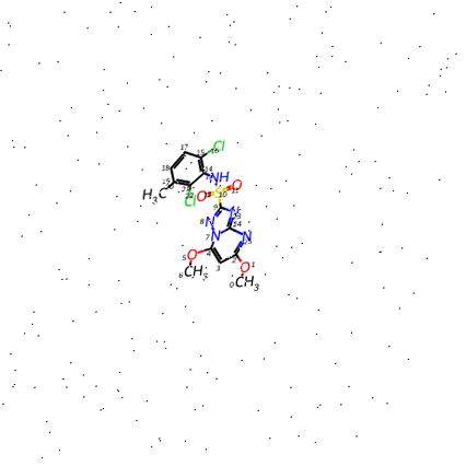 COc1cc(OC)n2nc(S(=O)(=O)Nc3c(Cl)ccc(C)c3Cl)nc2n1